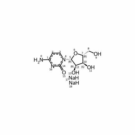 Nc1ccn([C@@H]2O[C@H](CO)[C@@H](O)[C@H]2O)c(=O)n1.[NaH].[NaH]